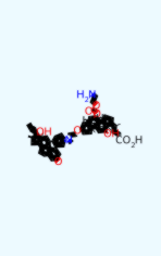 CC#C[C@]1(O)[C@H](C)CC2C3CCC4=CC(=O)CCC4=C3[C@@H](c3ccc(N(C)CCO[C@H]4CC[C@@]5(C)[C@@H](C4)C[C@@H](OC(=O)OCCN)[C@@H]4[C@@H]5C[C@H](O)[C@]5(C)C([C@H](C)CCC(=O)O)CC[C@@H]45)cc3)C[C@@]21C